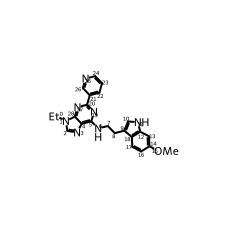 CCn1cnc2c(NCCc3c[nH]c4cc(OC)ccc34)nc(-c3cccnc3)nc21